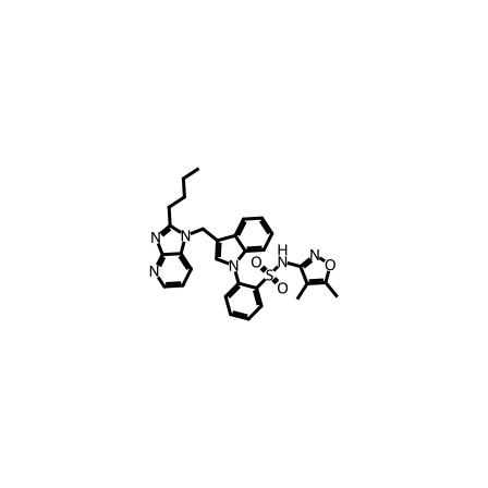 CCCCc1nc2ncccc2n1Cc1cn(-c2ccccc2S(=O)(=O)Nc2noc(C)c2C)c2ccccc12